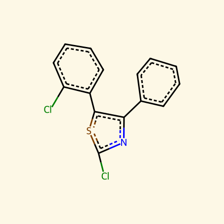 Clc1nc(-c2ccccc2)c(-c2ccccc2Cl)s1